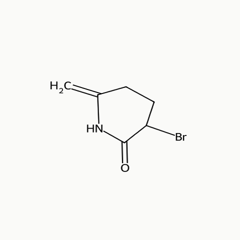 C=C1CCC(Br)C(=O)N1